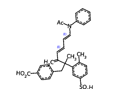 C=C(/C=C/C=C/N(C(C)=O)c1ccccc1)C(C)(Cc1ccc(C(=O)O)cc1)c1cc(S(=O)(=O)O)ccc1C